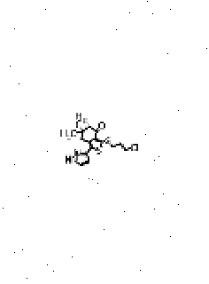 CC1(C)CC(=O)c2c(SCCCCl)sc(-c3cc[nH]n3)c2C1